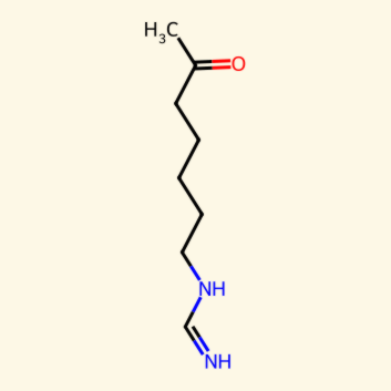 CC(=O)CCCCCNC=N